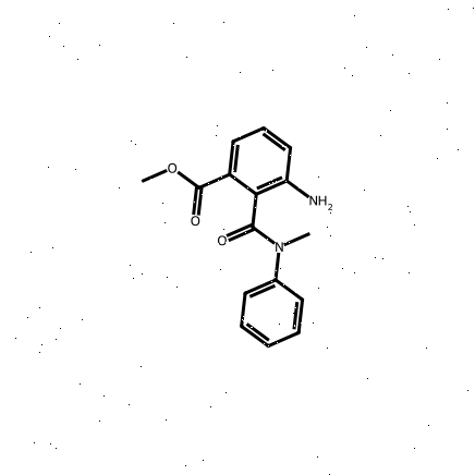 COC(=O)c1cccc(N)c1C(=O)N(C)c1ccccc1